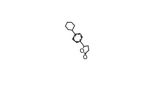 O=C1CCC(c2ccc(C3CCCCC3)cc2)O1